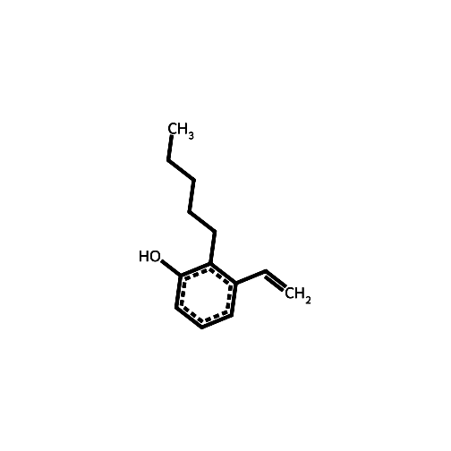 C=Cc1cccc(O)c1CCCCC